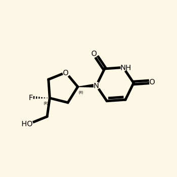 O=c1ccn([C@H]2C[C@@](F)(CO)CO2)c(=O)[nH]1